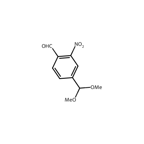 COC(OC)c1ccc(C=O)c([N+](=O)[O-])c1